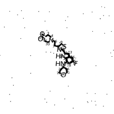 O=S1(=O)CCN(CCC2CSC(c3cc4cc(F)cc(NC5CCOCC5)c4[nH]3)=N2)CC1